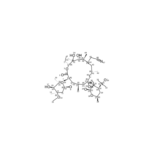 CC[C@H]1OC(=O)[C@H](C)[C@@H](O[C@H]2C[C@@](C)(OC)[C@@H](O)[C@H](C)O2)[C@H](C)[C@@H](O[C@@H]2O[C@H](C)C[C@H]([N+](C)(C)[O-])[C@H]2O)[C@](C)(O)C[C@@H](C)CN(CC#N)[C@H](C)[C@@H](O)[C@]1(C)O